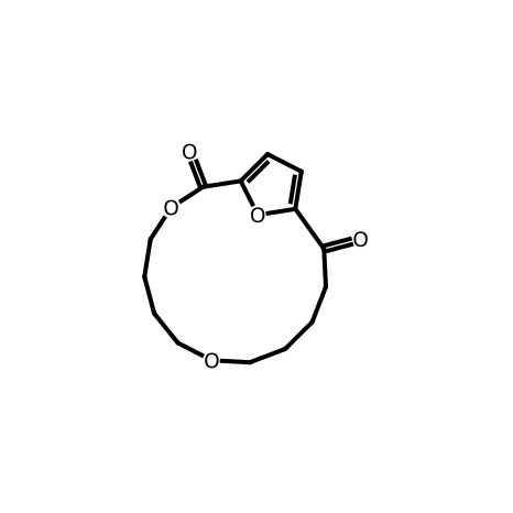 O=C1CCCCOCCCCOC(=O)c2ccc1o2